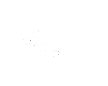 CNC(=O)c1c(F)cnc2c(C(C)[C@H](C)CNc3cc(-c4cnc(CC5CCN(CC(F)(F)F)CC5)nc4)ncn3)cccc12